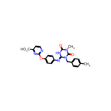 Cc1ccc(Cn2c(=O)n(C)c(=O)[nH]/c2=N\c2ccc(Oc3nccc(C(=O)O)n3)cc2)cc1